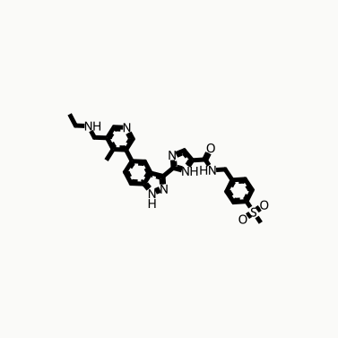 CCNCc1cncc(-c2ccc3[nH]nc(-c4ncc(C(=O)NCc5ccc(S(C)(=O)=O)cc5)[nH]4)c3c2)c1C